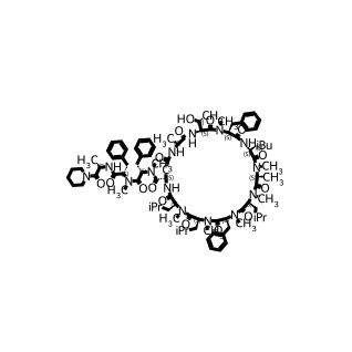 CC[C@H](C)[C@@H]1NC(=O)[C@H](Cc2ccccc2)N(C)C(=O)[C@H]([C@@H](C)O)NC(=O)[C@H](C)NC(=O)C[C@@H](C(=O)N(C)[C@@H](Cc2ccccc2)C(=O)N(C)[C@@H](Cc2ccccc2)C(=O)N[C@@H](C)C(=O)N2CCCCC2)NC(=O)[C@H](CC(C)C)N(C)C(=O)[C@H](CC(C)C)N(C)C(=O)[C@H](Cc2ccccc2)N(C)C(=O)[C@H](CC(C)C)N(C)C(=O)[C@H](C)N(C)C1=O